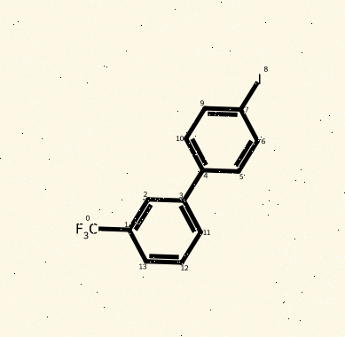 FC(F)(F)c1[c]c(-c2ccc(I)cc2)ccc1